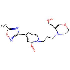 O=c1cc(-c2noc(C(F)(F)F)n2)ccn1CCCN1CCOCC1CO